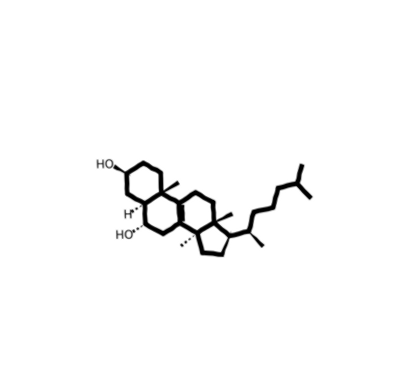 CC(C)CCC[C@@H](C)[C@H]1CC[C@@]2(C)C3=C(CC[C@]12C)[C@@]1(C)CC[C@H](O)C[C@@H]1[C@@H](O)C3